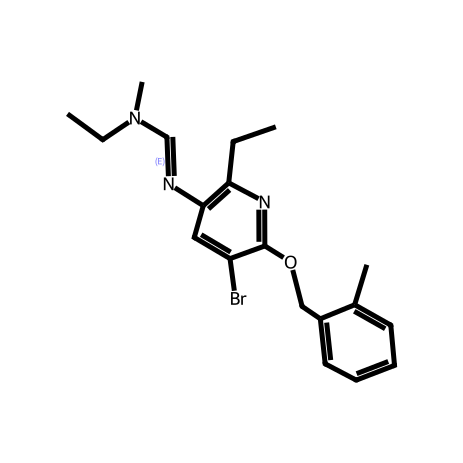 CCc1nc(OCc2ccccc2C)c(Br)cc1/N=C/N(C)CC